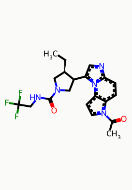 CC[C@@H]1CN(C(=O)NCC(F)(F)F)CC1c1cnc2ccc3c(ccn3C(C)=O)n12